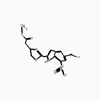 COC(=O)CC1CSC(c2cc3cc(CCl)cc([N+](=O)[O-])c3[nH]2)=N1